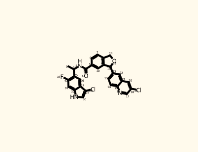 CC(NC(=O)c1ccc2c(c1)C(c1ccc3ncc(Cl)cc3c1)OC2)c1cc2c(Cl)c[nH]c2cc1F